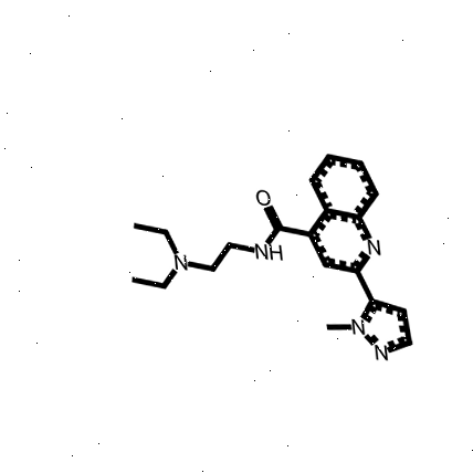 CCN(CC)CCNC(=O)c1cc(-c2ccnn2C)nc2ccccc12